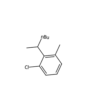 CCCCC(C)c1c(C)cccc1Cl